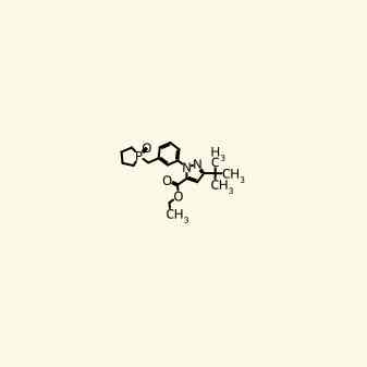 CCOC(=O)c1cc(C(C)(C)C)nn1-c1cccc(CP2(=O)CCCC2)c1